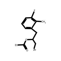 CCC(=O)OC(Cc1cccc(F)c1C)CC(C)C